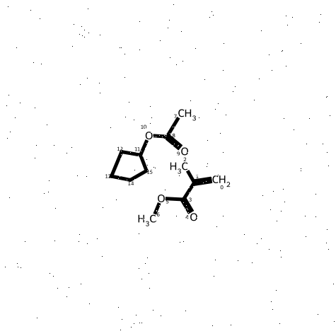 C=C(C)C(=O)OC.CC(=O)OC1CCCC1